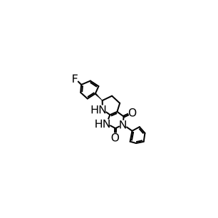 O=c1[nH]c2c(c(=O)n1-c1ccccc1)CC[C@H](c1ccc(F)cc1)N2